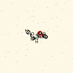 CN1CCN(C(=O)Cn2cc(Nc3nc4c(N5CC6CCC(C5)N6S(=O)(=O)c5ccccc5F)cccn4n3)cn2)CC1